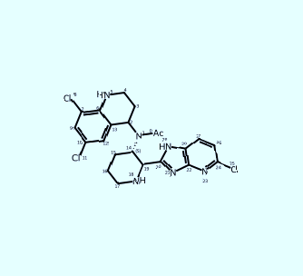 CC(=O)N(C1CCNc2c(Cl)cc(Cl)cc21)[C@H]1CCCNC1c1nc2nc(Cl)ccc2[nH]1